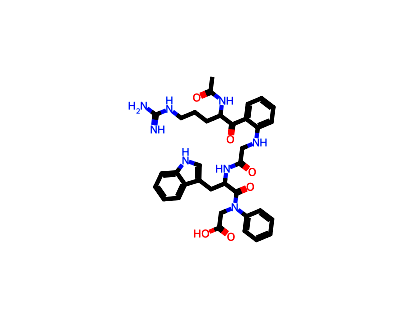 CC(=O)NC(CCCNC(=N)N)C(=O)c1ccccc1NCC(=O)NC(Cc1c[nH]c2ccccc12)C(=O)N(CC(=O)O)c1ccccc1